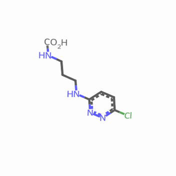 O=C(O)NCCCNc1ccc(Cl)nn1